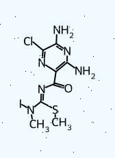 CS/C(=N\C(=O)c1nc(Cl)c(N)nc1N)N(C)I